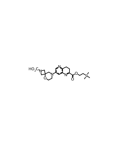 C[Si](C)(C)CCOC(=O)C1=Nc2cc(N3CCOC4(CN(C(=O)O)C4)C3)cnc2CC1